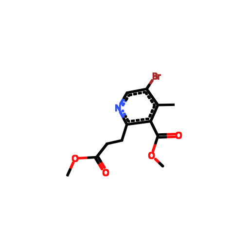 COC(=O)CCc1ncc(Br)c(C)c1C(=O)OC